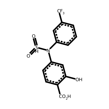 O=C(O)c1ccc(N(c2cccc(C(F)(F)F)c2)[SH](=O)=O)cc1O